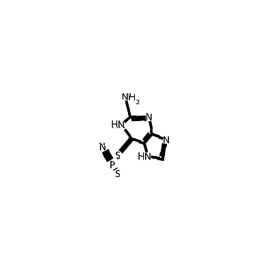 N#P=S.Nc1nc2nc[nH]c2c(=S)[nH]1